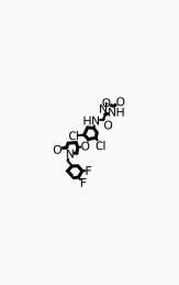 O=C(Nc1cc(Cl)c(Oc2ccc(=O)n(Cc3ccc(F)c(F)c3)c2)c(Cl)c1)c1noc(=O)[nH]1